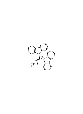 C[C](C)=[Ti+2]([CH]1C2=C(CCCC2)c2ccccc21)[CH]1C2=C(CCCC2)c2ccccc21.[Cl-].[Cl-]